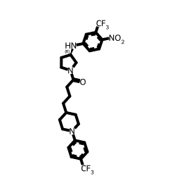 O=C(CCCC1CCN(c2ccc(C(F)(F)F)cc2)CC1)N1CC[C@@H](Nc2ccc([N+](=O)[O-])c(C(F)(F)F)c2)C1